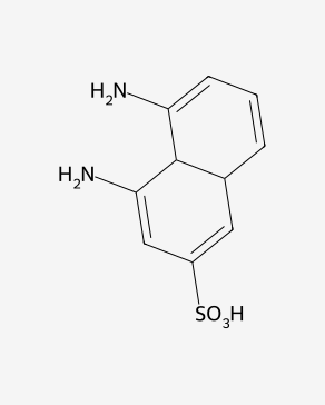 NC1=CC=CC2C=C(S(=O)(=O)O)C=C(N)C12